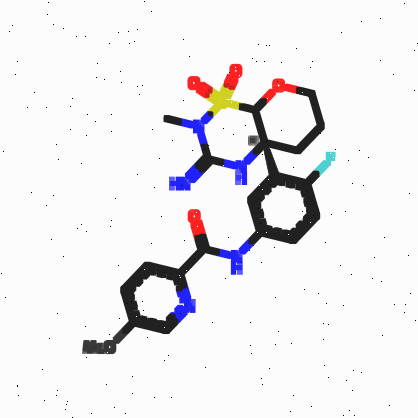 COc1ccc(C(=O)Nc2ccc(F)c([C@]34CCCOC3S(=O)(=O)N(C)C(=N)N4)c2)nc1